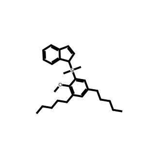 CCCCCc1cc(CCCCC)c(OC)c([Si](C)(C)C2C=Cc3ccccc32)c1